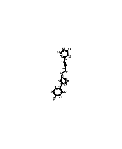 Fc1ccc(-c2cn(CCC#Cc3ccccn3)nn2)cc1